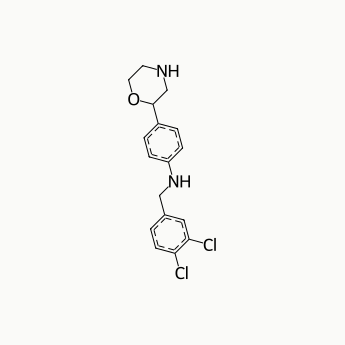 Clc1ccc(CNc2ccc(C3CNCCO3)cc2)cc1Cl